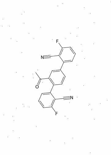 CC(=O)c1cc(-c2cccc(F)c2C#N)ccc1-c1cccc(F)c1C#N